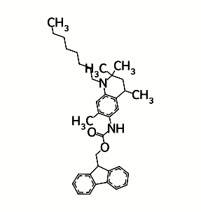 CCCCCCCCN1c2cc(C)c(NC(=O)OCC3c4ccccc4-c4ccccc43)cc2C(C)CC1(C)C